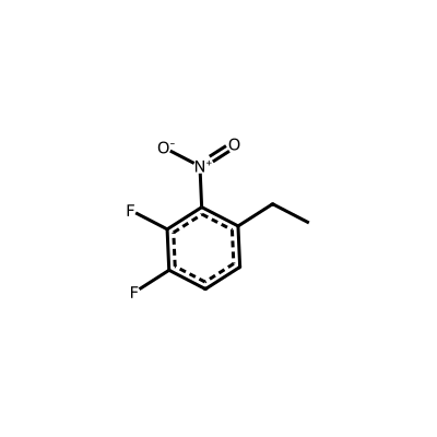 CCc1ccc(F)c(F)c1[N+](=O)[O-]